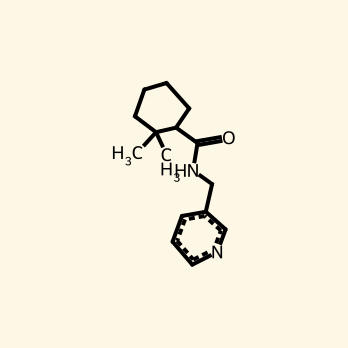 CC1(C)CCCCC1C(=O)NCc1cccnc1